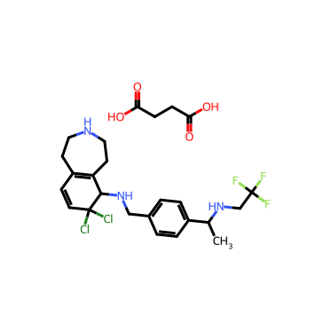 CC(NCC(F)(F)F)c1ccc(CNC2C3=C(C=CC2(Cl)Cl)CCNCC3)cc1.O=C(O)CCC(=O)O